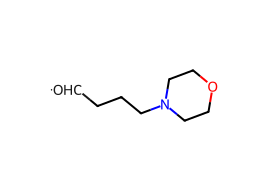 O=[C]CCCN1CCOCC1